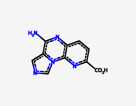 Nc1nc2ccc(C(=O)O)nc2n2cncc12